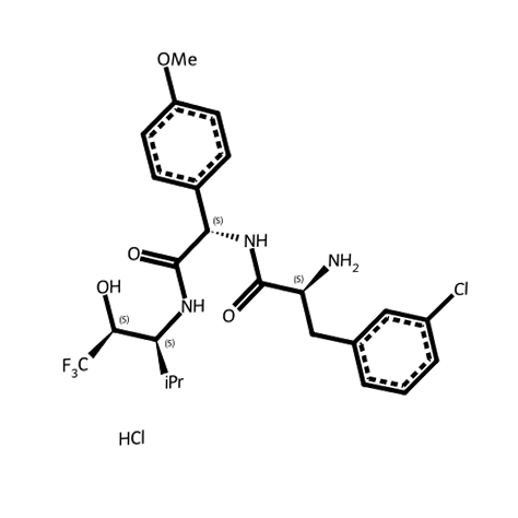 COc1ccc([C@H](NC(=O)[C@@H](N)Cc2cccc(Cl)c2)C(=O)N[C@@H](C(C)C)[C@H](O)C(F)(F)F)cc1.Cl